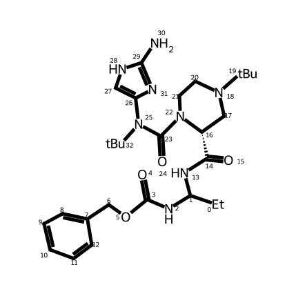 CCC(NC(=O)OCc1ccccc1)NC(=O)[C@H]1CN(C(C)(C)C)CCN1C(=O)N(c1c[nH]c(N)n1)C(C)(C)C